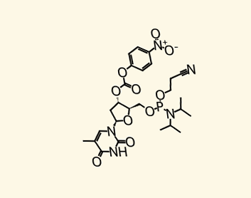 Cc1cn([C@H]2C[C@H](OC(=O)Oc3ccc([N+](=O)[O-])cc3)[C@@H](COP(OCCC#N)N(C(C)C)C(C)C)O2)c(=O)[nH]c1=O